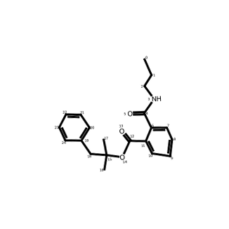 CCCNC(=O)c1ccccc1C(=O)OC(C)(C)Cc1ccccc1